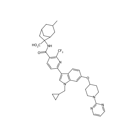 CC1CC2CC(C1)C(NC(=O)c1ccc(-c3cn(CC4CC4)c4cc(OC5CCN(c6ncccn6)CC5)ccc34)nc1C(F)(F)F)(C(=O)O)C2